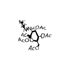 CC(=O)OC[C@H]1OC(OC(C)=O)(C(C)=O)[C@H](NN=[N+]=[N-])[C@@H](OC(C)=O)[C@@H]1OC(C)=O